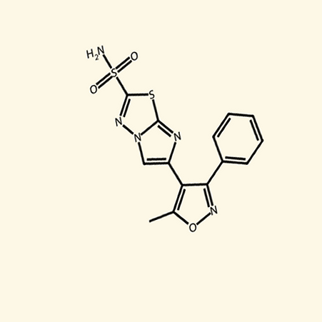 Cc1onc(-c2ccccc2)c1-c1cn2nc(S(N)(=O)=O)sc2n1